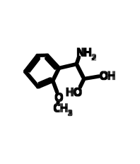 COc1ccccc1C(N)C(O)O